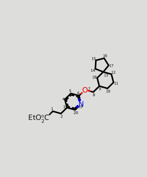 CCOC(=O)CCc1ccc(OCC2CCCC3(CCCC3)C2)nc1